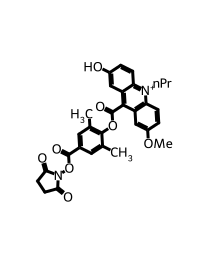 CCC[n+]1c2ccc(O)cc2c(C(=O)Oc2c(C)cc(C(=O)ON3C(=O)CCC3=O)cc2C)c2cc(OC)ccc21